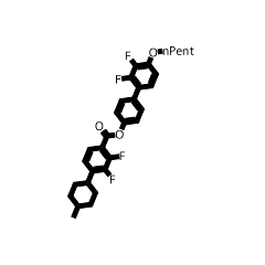 CCCCCOc1ccc(-c2ccc(OC(=O)c3ccc(C4CCC(C)CC4)c(F)c3F)cc2)c(F)c1F